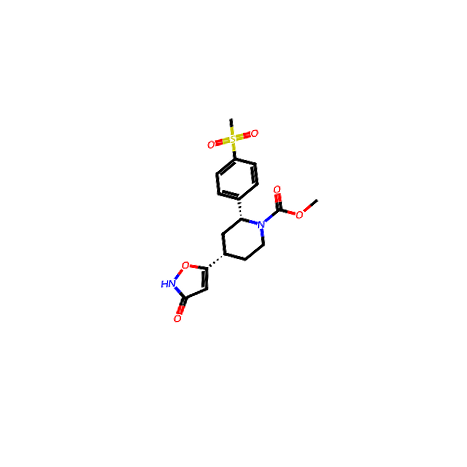 COC(=O)N1CC[C@H](c2cc(=O)[nH]o2)C[C@@H]1c1ccc(S(C)(=O)=O)cc1